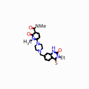 CCn1c(=O)[nH]c2cc(CN3CCN(c4ccc(C(=O)NC)c(=O)n4C)CC3)ccc2c1=S